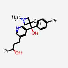 CC(C)c1ccc([C@](O)(c2cncc(CCC(O)C(C)C)c2)C2(C)CN(C)C2)cc1